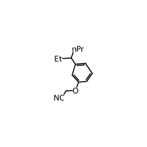 CCCC(CC)c1cccc(OCC#N)c1